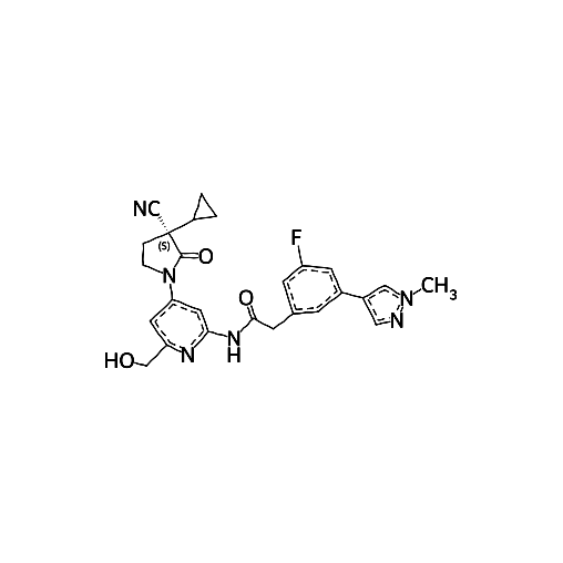 Cn1cc(-c2cc(F)cc(CC(=O)Nc3cc(N4CC[C@@](C#N)(C5CC5)C4=O)cc(CO)n3)c2)cn1